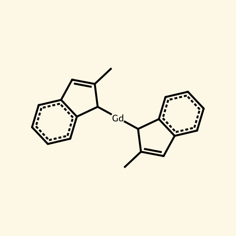 CC1=Cc2ccccc2[CH]1[Gd][CH]1C(C)=Cc2ccccc21